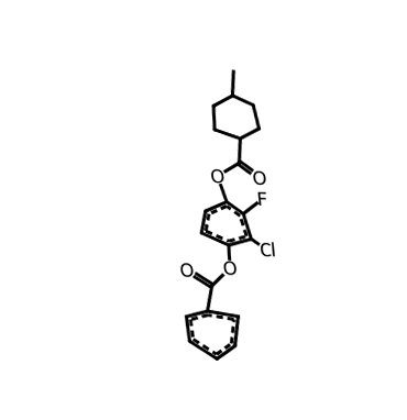 CC1CCC(C(=O)Oc2ccc(OC(=O)c3ccccc3)c(Cl)c2F)CC1